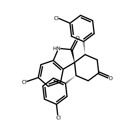 O=C1C[C@H](c2cccc(Cl)c2)[C@@]2(C(=O)Nc3cc(Cl)ccc32)[C@H](c2cccc(Cl)c2)C1